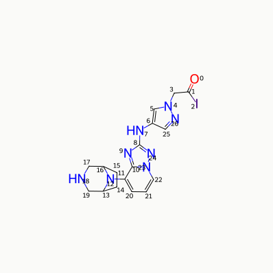 O=C(I)Cn1cc(Nc2nc3c(N4C5CCC4CNC5)cccn3n2)cn1